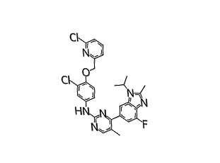 Cc1cnc(Nc2ccc(OCc3cccc(Cl)n3)c(Cl)c2)nc1-c1cc(F)c2nc(C)n(C(C)C)c2c1